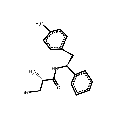 Cc1ccc(C[C@H](NC(=O)[C@@H](N)CC(C)C)c2ccccc2)cc1